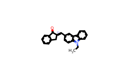 CCn1c2ccccc2c2cc(/C=C3\Cc4ccccc4C3=O)ccc21